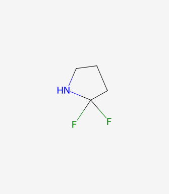 FC1(F)CCCN1